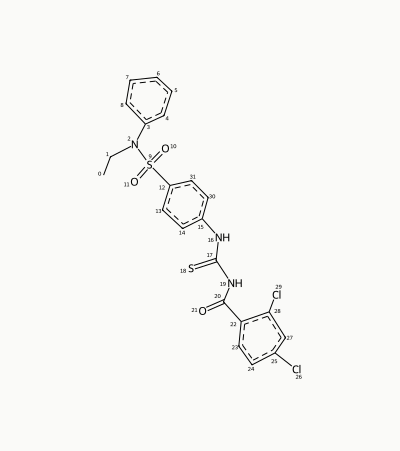 CCN(c1ccccc1)S(=O)(=O)c1ccc(NC(=S)NC(=O)c2ccc(Cl)cc2Cl)cc1